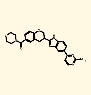 Nc1nccc(-c2ccc3[nH]c(C4COc5ccc(C(=O)N6CCOCC6)cc5C4)nc3c2)n1